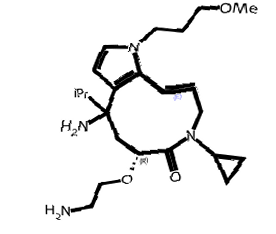 COCCCn1ccc2c1/C=C/CN(C1CC1)C(=O)[C@H](OCCN)CC2(N)C(C)C